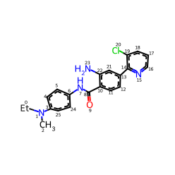 CCN(C)c1ccc(NC(=O)c2ccc(-c3ncccc3Cl)cc2N)cc1